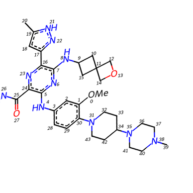 COc1cc(Nc2nc(NC3CC4(COC4)C3)c(-c3cc(C)[nH]n3)nc2C(N)=O)ccc1N1CCC(N2CCN(C)CC2)CC1